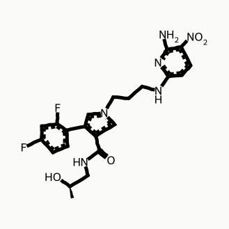 C[C@@H](O)CNC(=O)c1cn(CCCNc2ccc([N+](=O)[O-])c(N)n2)cc1-c1ccc(F)cc1F